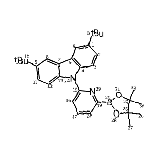 CC(C)(C)c1ccc2c(c1)c1cc(C(C)(C)C)ccc1n2-c1cccc(B2OC(C)(C)C(C)(C)O2)n1